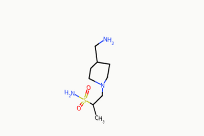 CC(CN1CCC(CN)CC1)S(N)(=O)=O